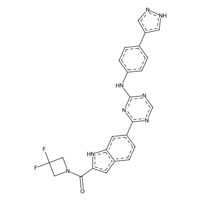 O=C(c1cc2ccc(-c3ncnc(Nc4ccc(-c5cn[nH]c5)cc4)n3)cc2[nH]1)N1CC(F)(F)C1